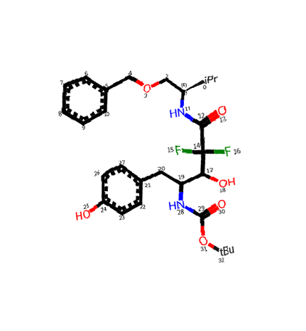 CC(C)[C@H](COCc1ccccc1)NC(=O)C(F)(F)C(O)C(Cc1ccc(O)cc1)NC(=O)OC(C)(C)C